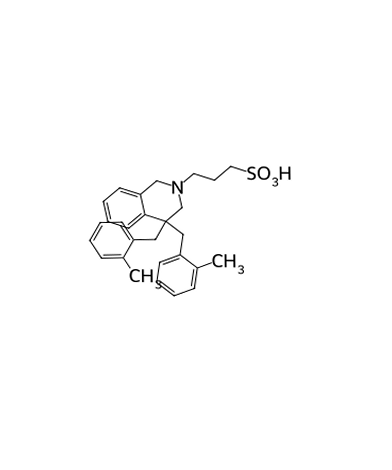 Cc1ccccc1CC1(Cc2ccccc2C)CN(CCCS(=O)(=O)O)Cc2ccccc21